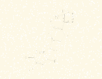 O=S(=O)(c1cc(F)c(Cl)cc1F)N1CCc2c(cnc3[nH]ncc23)C1